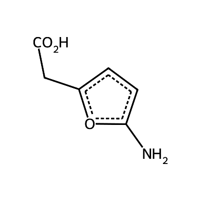 Nc1ccc(CC(=O)O)o1